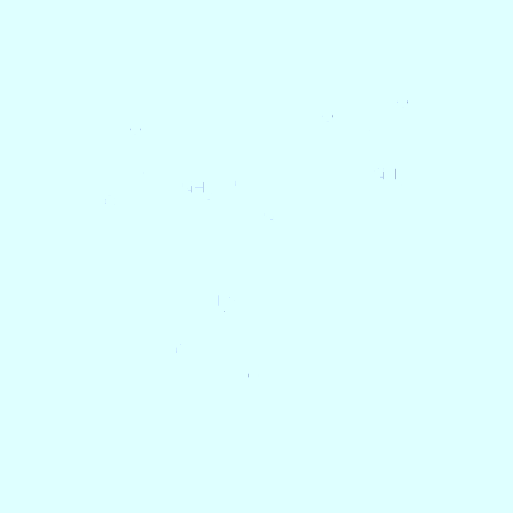 COC(OC)[SiH2]C(C)C[Si](CC(C)[SiH2]C(OC)OC)(CC(C)[SiH2]C(OC)OC)OC